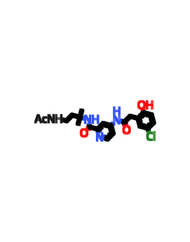 CC(=O)NCCC(C)(C)NC(=O)c1cc(NC(=O)Cc2cc(Cl)ccc2O)ccn1